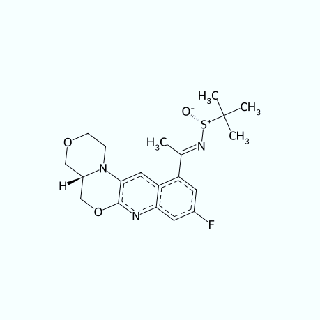 C/C(=N\[S@+]([O-])C(C)(C)C)c1cc(F)cc2nc3c(cc12)N1CCOC[C@H]1CO3